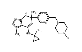 CCN1CCN(Cc2ccc(C3(N)N=C(NC4(C)CC4)c4c(C)csc4N3)cn2)CC1